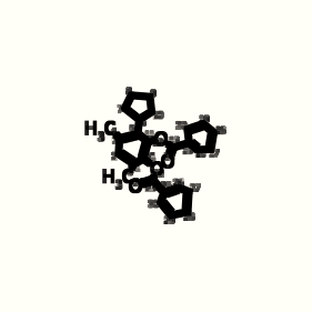 Cc1cc(C)c(C2CCCC2)c(OC(=O)c2ccccc2)c1OC(=O)c1ccccc1